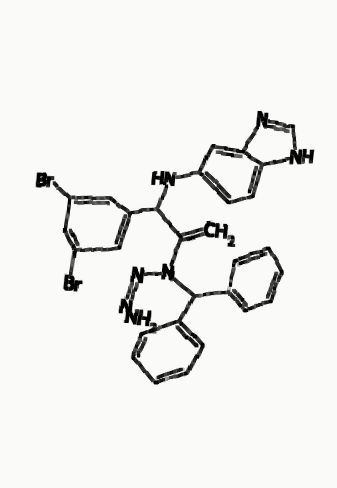 C=C(C(Nc1ccc2[nH]cnc2c1)c1cc(Br)cc(Br)c1)N(/N=N\N)C(c1ccccc1)c1ccccc1